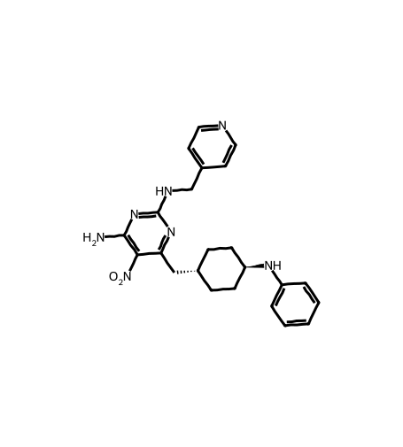 Nc1nc(NCc2ccncc2)nc(C[C@H]2CC[C@H](Nc3ccccc3)CC2)c1[N+](=O)[O-]